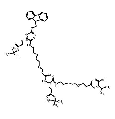 CC(C)[C@H](NC(=O)CCOCCOCCNC(=O)[C@H](CCC(=O)OC(C)(C)C)NC(=O)CCOCCOCCNC(=O)[C@H](CCC(=O)OC(C)(C)C)NC(=O)OCC1c2ccccc2-c2ccccc21)C(=O)O